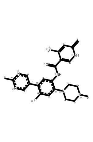 C=C1C=C(C(F)(F)F)C(C(=O)Nc2cc(-c3cnc(C)nc3)c(F)cc2N2CCN(C)CC2)=CN1